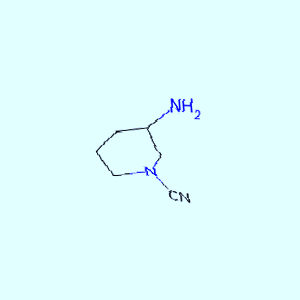 N#CN1CCCC(N)C1